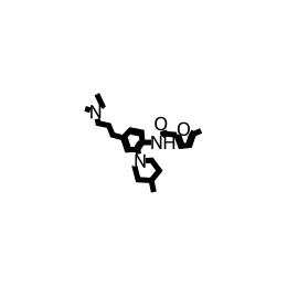 CCN(C)CCCc1ccc(NC(=O)c2ccc(C)o2)c(N2CCC(C)CC2)c1